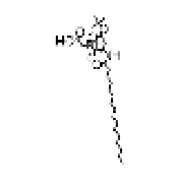 CCCCCCCCCCCCCCCC(=O)N[C@H](CC(=O)OC(C)(C)C)C(=O)NCC(=O)O